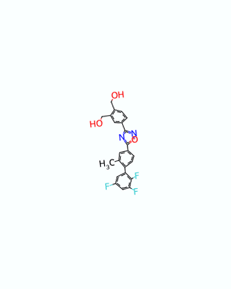 Cc1cc(-c2nc(-c3ccc(CO)c(CO)c3)no2)ccc1-c1cc(F)cc(F)c1F